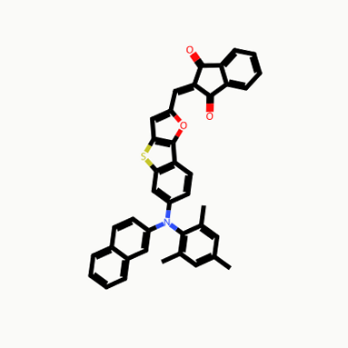 Cc1cc(C)c(N(c2ccc3ccccc3c2)c2ccc3c(c2)sc2cc(C=C4C(=O)c5ccccc5C4=O)oc23)c(C)c1